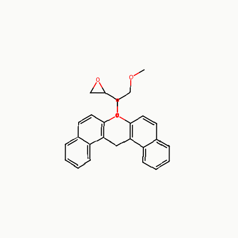 COCCOc1ccc2ccccc2c1Cc1c(OCC2CO2)ccc2ccccc12